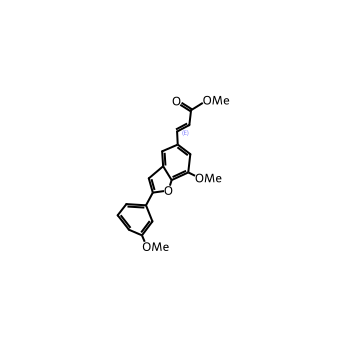 COC(=O)/C=C/c1cc(OC)c2oc(-c3cccc(OC)c3)cc2c1